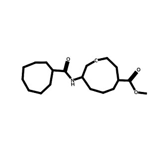 COC(=O)C1CCCCC(NC(=O)C2CCCCCCC2)CCC1